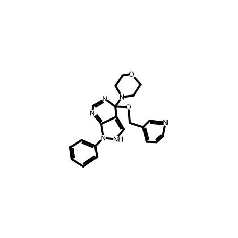 C1=NC(OCc2cccnc2)(N2CCOCC2)C2=CNN(c3ccccc3)C2=N1